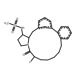 CS(=O)(=O)NC1CCN2C(=O)C(F)CCCCCc3ccccc3-c3cccc(c3)CC12